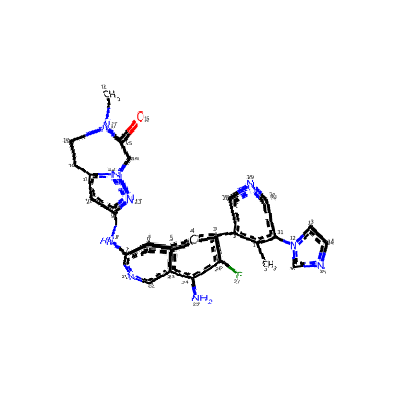 Cc1c(-c2cc3cc(Nc4cc5n(n4)CC(=O)N(C)CC5)ncc3c(N)c2F)cncc1-n1ccnc1